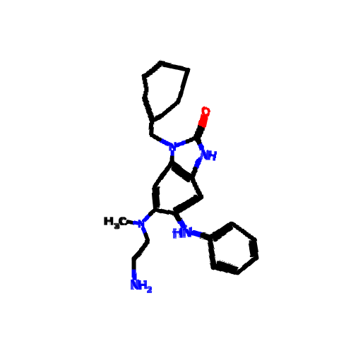 CN(CCN)c1cc2c(cc1Nc1ccccc1)[nH]c(=O)n2CC1CCCCC1